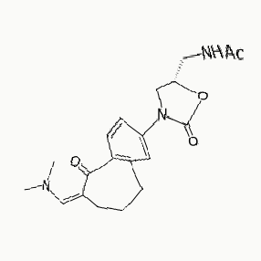 CC(=O)NC[C@H]1CN(c2ccc3c(c2)CCCC(=CN(C)C)C3=O)C(=O)O1